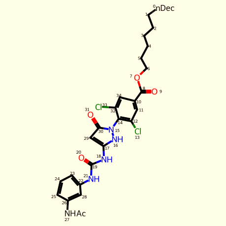 CCCCCCCCCCCCCCCCOC(=O)c1cc(Cl)c(-n2[nH]c(NC(=O)Nc3cccc(NC(C)=O)c3)cc2=O)c(Cl)c1